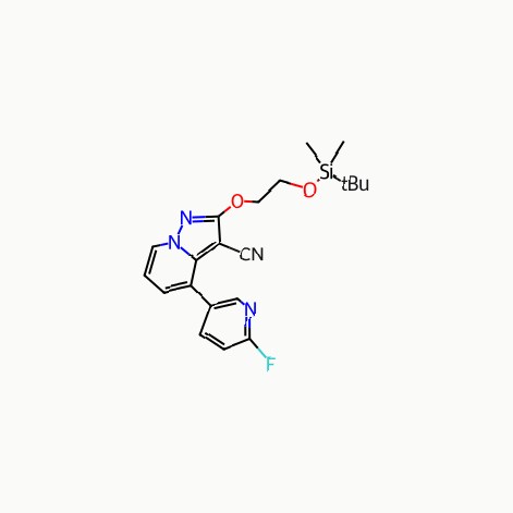 CC(C)(C)[Si](C)(C)OCCOc1nn2cccc(-c3ccc(F)nc3)c2c1C#N